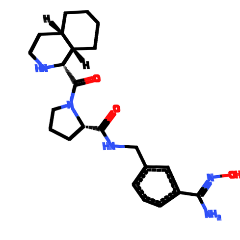 NC(=NO)c1cccc(CNC(=O)[C@@H]2CCCN2C(=O)[C@@H]2NCC[C@@H]3CCCC[C@@H]32)c1